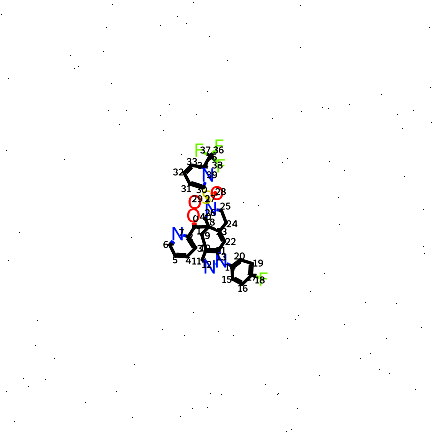 O=C(c1ccccn1)C12Cc3cnn(-c4ccc(F)cc4)c3C=C1CCN(S(=O)(=O)c1cccc(C(F)(F)F)n1)C2